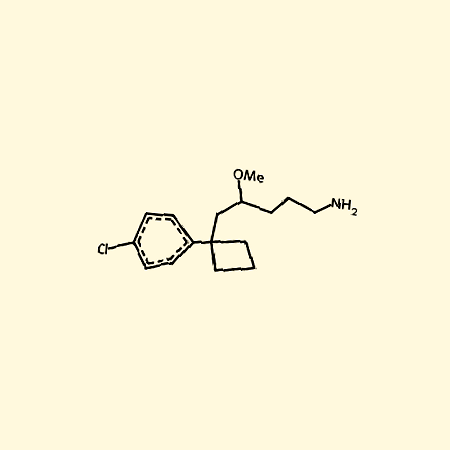 COC(CCCN)CC1(c2ccc(Cl)cc2)CCC1